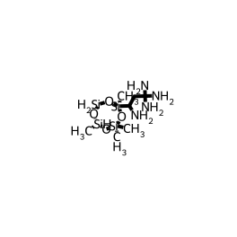 C[SiH]1O[SiH2]O[Si](C)(C(N)CC(N)(N)N)O[Si](C)(C)O1